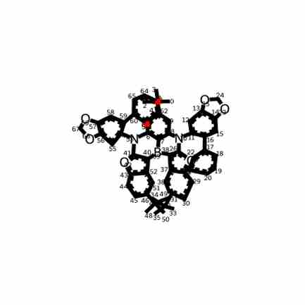 CC(C)(C)c1cc2c3c(c1)N(c1cc4c(cc1-c1ccccc1)OCO4)c1oc4ccc(C(C)(C)C)cc4c1B3c1c(oc3ccc(C(C)(C)C)cc13)N2c1cc2c(cc1-c1ccccc1)OCO2